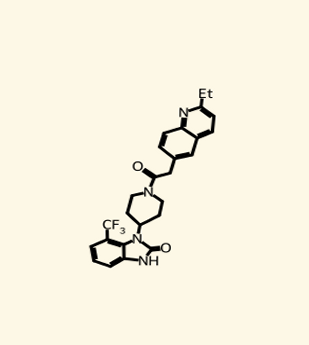 CCc1ccc2cc(CC(=O)N3CCC(n4c(=O)[nH]c5cccc(C(F)(F)F)c54)CC3)ccc2n1